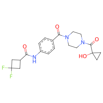 O=C(Nc1ccc(C(=O)N2CCN(C(=O)C3(O)CC3)CC2)cc1)C1CC(F)(F)C1